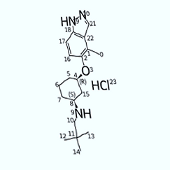 Cc1c(O[C@@H]2CCC[C@H](NCC(C)(C)C)C2)ccc2[nH]ncc12.Cl